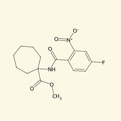 COC(=O)C1(NC(=O)c2ccc(F)cc2[N+](=O)[O-])CCCCCC1